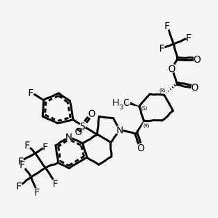 C[C@H]1C[C@H](C(=O)OC(=O)C(F)(F)F)CC[C@H]1C(=O)N1CCC2(S(=O)(=O)c3ccc(F)cc3)c3ncc(C(F)(C(F)(F)F)C(F)(F)F)cc3CCC12